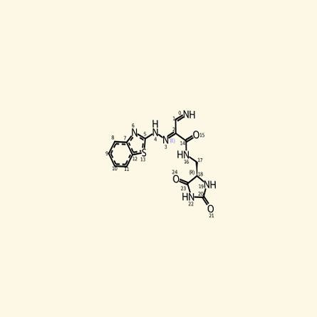 N=C/C(=N\Nc1nc2ccccc2s1)C(=O)NC[C@H]1NC(=O)NC1=O